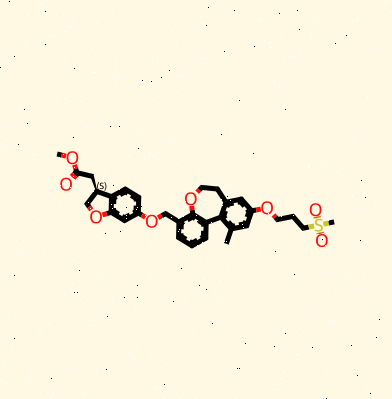 COC(=O)C[C@@H]1COc2cc(OCc3cccc4c3OCCc3cc(OCCCS(C)(=O)=O)cc(C)c3-4)ccc21